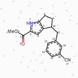 COC(=O)c1cc2c([nH]1)CCC2Cc1cccc(C#N)c1